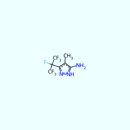 Cc1c(C(F)(C(F)(F)F)C(F)(F)F)n[nH]c1N